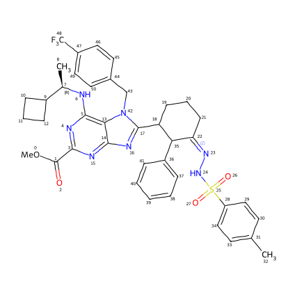 COC(=O)c1nc(N[C@H](C)C2CCC2)c2c(n1)nc(C1CCC/C(=N/NS(=O)(=O)c3ccc(C)cc3)C1c1ccccc1)n2Cc1ccc(C(F)(F)F)cc1